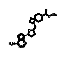 CC(C)(C)OC(=O)N1CCC2(CC1)CCN2CC1CC[C@H](c2ccc3c(N)ncnn23)O1